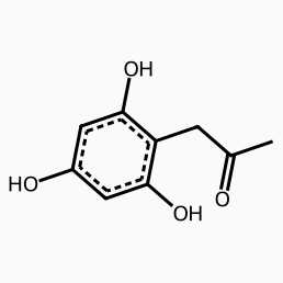 CC(=O)Cc1c(O)cc(O)cc1O